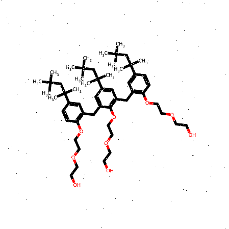 CC(C)(C)CC(C)(C)c1ccc(OCCOCCO)c(Cc2cc(C(C)(C)CC(C)(C)C)cc(Cc3cc(C(C)(C)CC(C)(C)C)ccc3OCCOCCO)c2OCCOCCO)c1